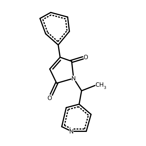 CC(c1ccncc1)N1C(=O)C=C(c2ccccc2)C1=O